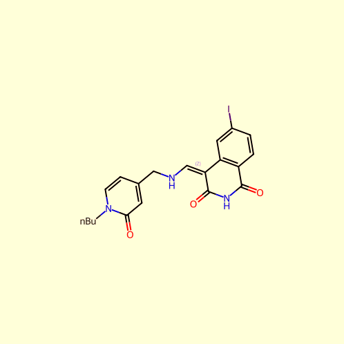 CCCCn1ccc(CN/C=C2\C(=O)NC(=O)c3ccc(I)cc32)cc1=O